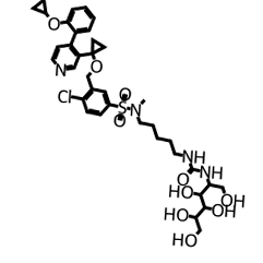 CN(CCCCCNC(=O)NC(CO)C(O)C(O)C(O)CO)S(=O)(=O)c1ccc(Cl)c(COC2(c3cnccc3-c3ccccc3OC3CC3)CC2)c1